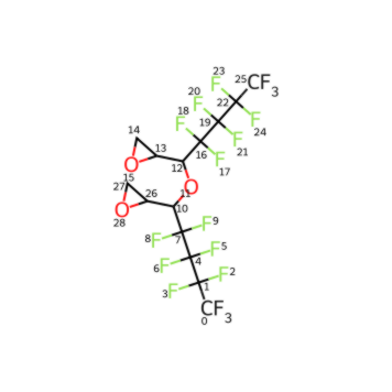 FC(F)(F)C(F)(F)C(F)(F)C(F)(F)C(OC(C1CO1)C(F)(F)C(F)(F)C(F)(F)C(F)(F)F)C1CO1